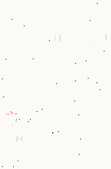 C=CP(OCCCCCCCCCCCCCCOP(=O)(C=C)OCC(C)C)OCC(C)C